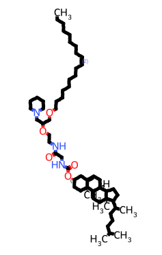 CCCCCCCC/C=C\CCCCCCCCOCC(CN1CCCCC1)OCCNC(=O)CNC(=O)O[C@H]1CC[C@@]2(C)C(=CC[C@H]3C4CCC(C(C)CCCC(C)C)[C@@]4(C)CCC32)C1